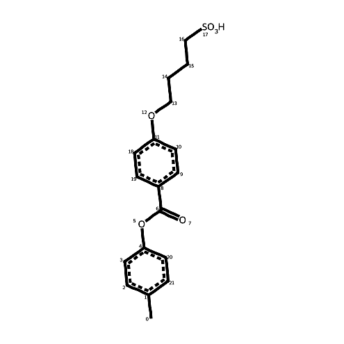 Cc1ccc(OC(=O)c2ccc(OCCCCS(=O)(=O)O)cc2)cc1